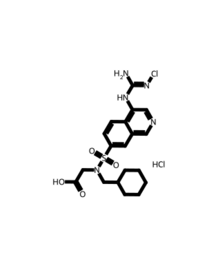 Cl.NC(=NCl)Nc1cncc2cc(S(=O)(=O)N(CC(=O)O)CC3CCCCC3)ccc12